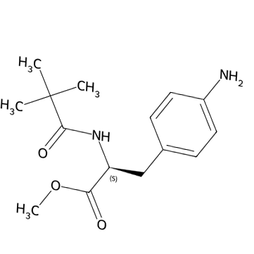 COC(=O)[C@H](Cc1ccc(N)cc1)NC(=O)C(C)(C)C